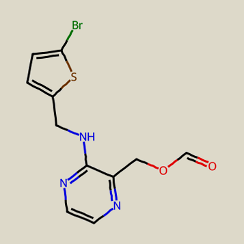 O=COCc1nccnc1NCc1ccc(Br)s1